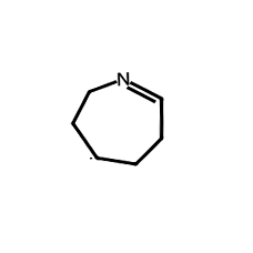 [CH]1CCC=NCC1